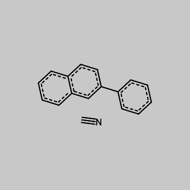 C#N.c1ccc(-c2ccc3ccccc3c2)cc1